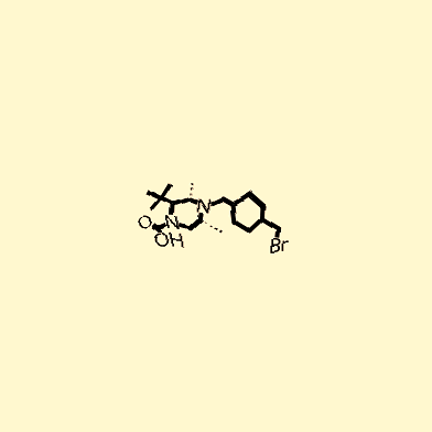 C[C@@H]1CN(C(=O)O)C(C(C)(C)C)[C@H](C)N1CC1CCC(CBr)CC1